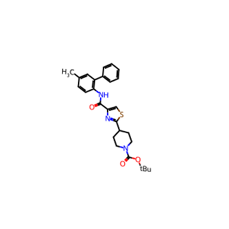 Cc1ccc(NC(=O)c2csc(C3CCN(C(=O)OC(C)(C)C)CC3)n2)c(-c2ccccc2)c1